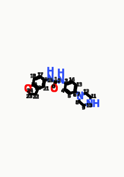 O=C(Nc1ccc(N2CCNCC2)cc1)Nc1ccc2c(c1)CCO2